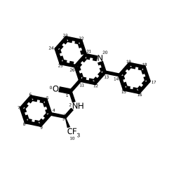 O=C(N[C@H](c1ccccc1)C(F)(F)F)c1cc(-c2ccccc2)nc2ccccc12